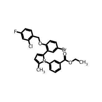 CCOC(=O)c1cccc(-n2c(C)ccc2-c2cc(Br)ccc2OCc2ccc(F)cc2Cl)c1